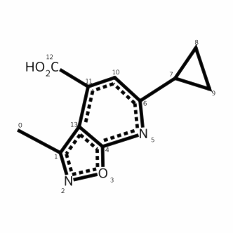 Cc1noc2nc(C3CC3)cc(C(=O)O)c12